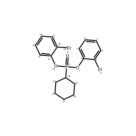 CCc1ccccc1OP(=O)(Oc1ccccc1CC)C1CCCCC1